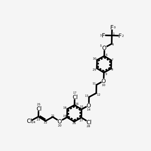 FC(F)(F)COc1ccc(OCCCOc2c(Cl)cc(OCC=C(Cl)Cl)cc2Cl)cc1